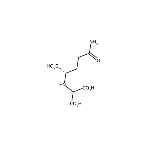 NC(=O)CC[C@H](NC(C(=O)O)C(=O)O)C(=O)O